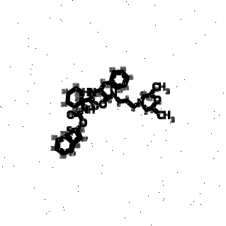 CC1CN(CCCNC(=O)C(Cc2ccccc2)NC(=O)C2(NC(=O)Oc3cc4ccccc4s3)CCCCC2)CC(C)O1